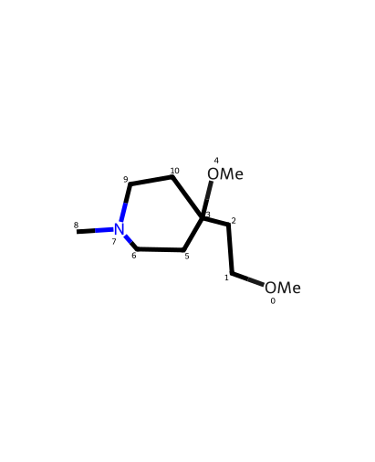 COCCC1(OC)CCN(C)CC1